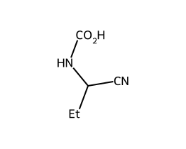 CCC(C#N)NC(=O)O